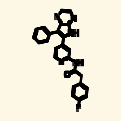 O=C(Cc1ccc(F)cc1)Nc1cc(-c2[nH]c3nccnc3c2-c2ccccc2)ccn1